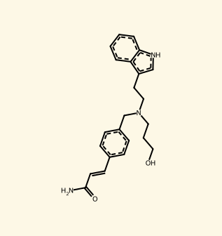 NC(=O)/C=C/c1ccc(CN(CCCO)CCc2c[nH]c3ccccc23)cc1